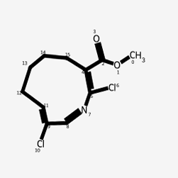 COC(=O)/C1=C(Cl)/N=C\C(Cl)=C\CCCC1